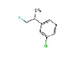 CC(CF)c1cccc(Cl)c1